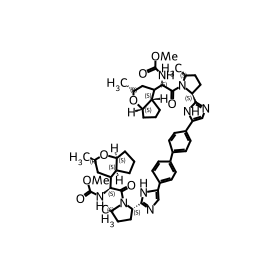 COC(=O)N[C@H](C(=O)N1[C@@H](C)CC[C@H]1c1ncc(-c2ccc(-c3ccc(-c4cnc([C@@H]5CC[C@H](C)N5C(=O)[C@@H](NC(=O)OC)C5C[C@@H](C)O[C@H]6CCC[C@@H]56)[nH]4)cc3)cc2)[nH]1)C1C[C@@H](C)O[C@H]2CCC[C@@H]12